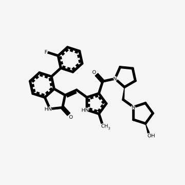 Cc1cc(C(=O)N2CCC[C@H]2CN2CC[C@@H](O)C2)c(/C=C2\C(=O)Nc3cccc(-c4ccccc4F)c32)[nH]1